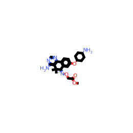 COC(=O)CO/N=C1\c2cc(O[C@H]3CC[C@H](N)CC3)ccc2-c2ncnc(N)c2C1(C)C